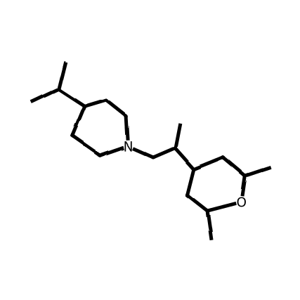 CC1CC(C(C)CN2CCC(C(C)C)CC2)CC(C)O1